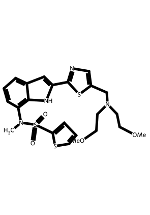 COCCN(CCOC)Cc1cnc(-c2cc3cccc(N(C)S(=O)(=O)c4cccs4)c3[nH]2)s1